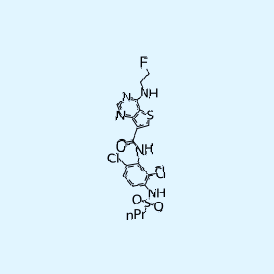 CCCS(=O)(=O)Nc1ccc(Cl)c(NC(=O)c2csc3c(NCCF)ncnc23)c1Cl